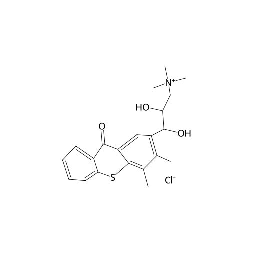 Cc1c(C(O)C(O)C[N+](C)(C)C)cc2c(=O)c3ccccc3sc2c1C.[Cl-]